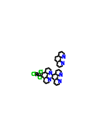 [Cl][Ru]([Cl])[Cl].c1cnc2c(c1)ccc1cccnc12.c1cnc2c(c1)ccc1cccnc12.c1cnc2c(c1)ccc1cccnc12